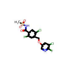 CS(=O)(=O)NC(=O)c1cc(Cl)c(COc2cnc(F)c(Cl)c2)cc1F